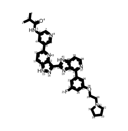 CC(C)C(=O)Nc1cncc(-c2ccc3[nH]nc(-c4nc5c(-c6cc(F)cc(OCCN7CCCC7)c6)nccc5[nH]4)c3n2)c1